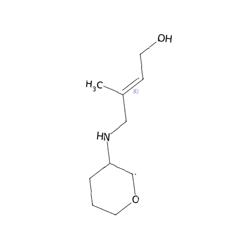 C/C(=C\CO)CNC1[CH]OCCC1